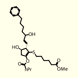 CCCC(=O)OC1=C(SCCCCCC(=O)OC)[C@@H](/C=C/C(O)CCCCc2ccccc2)[C@H](O)C1